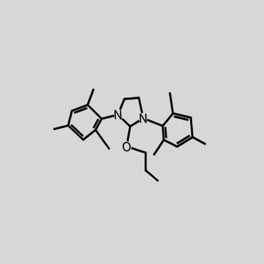 CCCOC1N(c2c(C)cc(C)cc2C)CCN1c1c(C)cc(C)cc1C